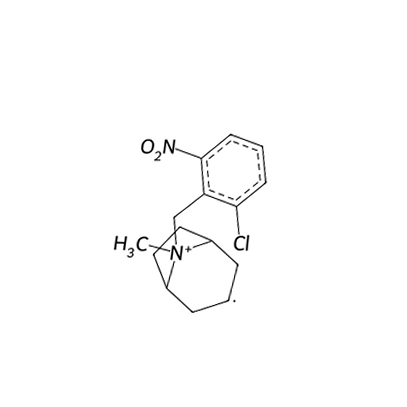 C[N+]1(Cc2c(Cl)cccc2[N+](=O)[O-])C2C[CH]CC1CC2